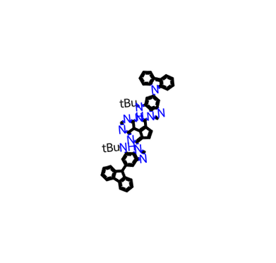 CC(C)(C)Nc1cc(-n2c3ccccc3c3ccccc32)cc2ncn(C3=NC4=NC=NC5=NC(n6cnc7cc(C8c9ccccc9-c9ccccc98)cc(NC(C)(C)C)c76)=C6C=CC3=C6C45)c12